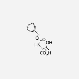 C[C@H](O)C(NC(=O)OCc1ccccc1)C(=O)O